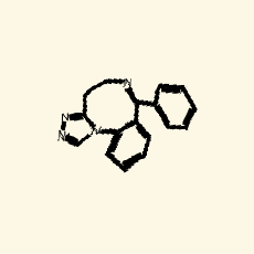 c1ccc(C2=NCCc3nncn3-c3ccccc32)cc1